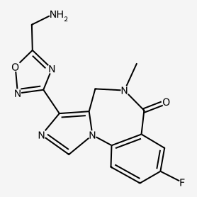 CN1Cc2c(-c3noc(CN)n3)ncn2-c2ccc(F)cc2C1=O